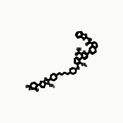 Cc1c(OC2CCC(CCCCN3CCN(c4nc5cc(C6CCC(=O)NC6=O)ccc5n4C)CC3)CC2)cccc1-c1ccc(N2CCc3cccc(C(=O)Nc4nc5ccccc5s4)c3C2)nc1C(=O)O